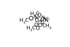 COC1C(N=[N+]=[N-])[C@@H](OC(C)=O)C(COC(C)=O)O[C@H]1Sc1ccc(C)cc1